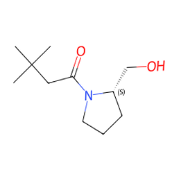 CC(C)(C)CC(=O)N1CCC[C@H]1CO